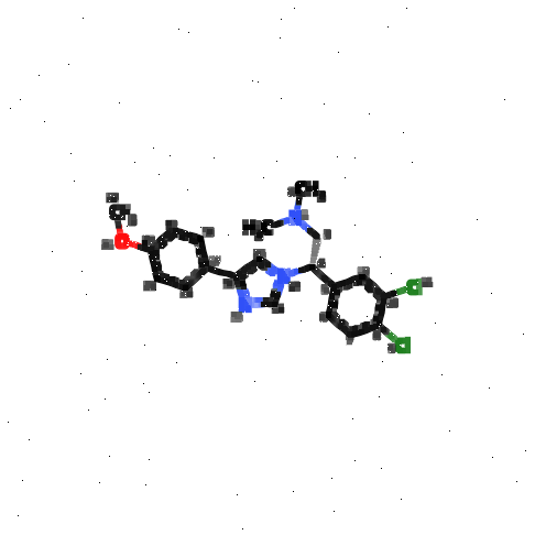 CN(C)C[C@H](c1ccc(Cl)c(Cl)c1)n1cnc(-c2ccc(OC(F)(F)F)cc2)c1